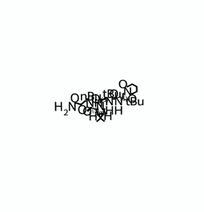 CCCCC(NC(=O)[C@@H]1[C@@H]2[C@H](CN1C(=O)[C@@H](NC(=O)N[C@H](CN1C(=O)CCCC1=O)C(C)(C)C)C(C)(C)C)C2(C)C)C(=O)C(N)=O